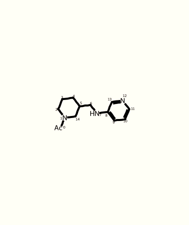 CC(=O)N1CCCC(CNc2cccnc2)C1